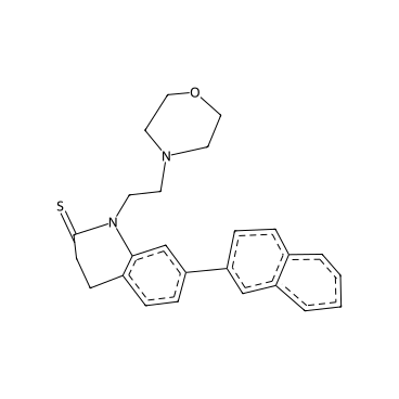 S=C1CCc2ccc(-c3ccc4ccccc4c3)cc2N1CCN1CCOCC1